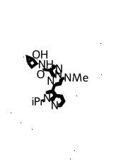 CNc1cc(-c2cn(C(C)C)c3ncccc23)nc2c(C(=O)N[C@@H]3CC4C[C@]43O)cnn12